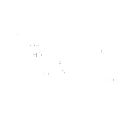 O=C(O)c1cc(F)cnc1C(=O)c1cccc(C(O)(O)F)c1C(O)(O)F